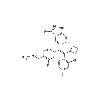 O=C(O)/C=C/c1ccc(/C(=C(\c2ccc(F)cc2Cl)C2CCC2)c2ccc3[nH]nc(F)c3c2)cc1F